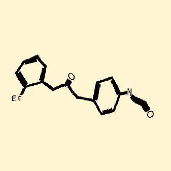 CCc1ccccc1CC(=O)Cc1ccc(N=C=O)cc1